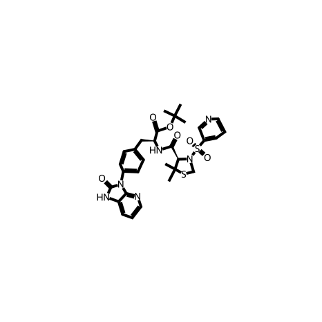 CC(C)(C)OC(=O)[C@H](Cc1ccc(-n2c(=O)[nH]c3cccnc32)cc1)NC(=O)[C@H]1N(S(=O)(=O)c2cccnc2)CSC1(C)C